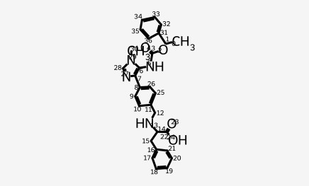 CC(OC(=O)Nc1c(-c2ccc(CNC(Cc3ccccc3)C(=O)O)cc2)ncn1C)c1ccccc1